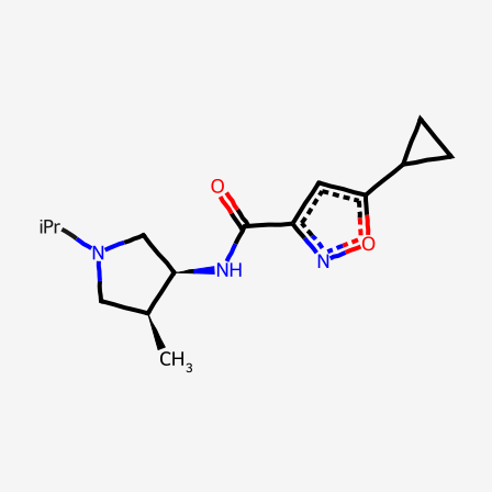 CC(C)N1C[C@H](C)[C@H](NC(=O)c2cc(C3CC3)on2)C1